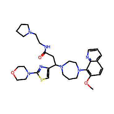 COc1ccc2cccnc2c1N1CCCN(C(CC(=O)NCCN2CCCC2)c2csc(N3CCOCC3)n2)CC1